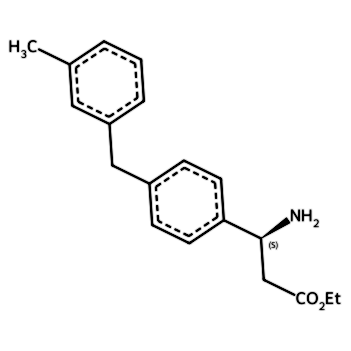 CCOC(=O)C[C@H](N)c1ccc(Cc2cccc(C)c2)cc1